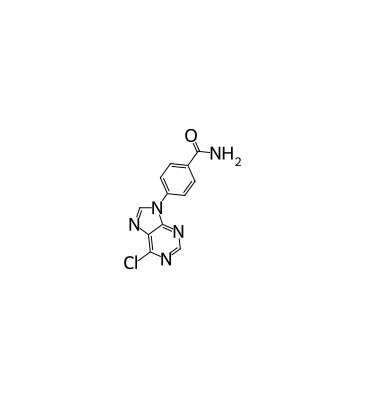 NC(=O)c1ccc(-n2cnc3c(Cl)ncnc32)cc1